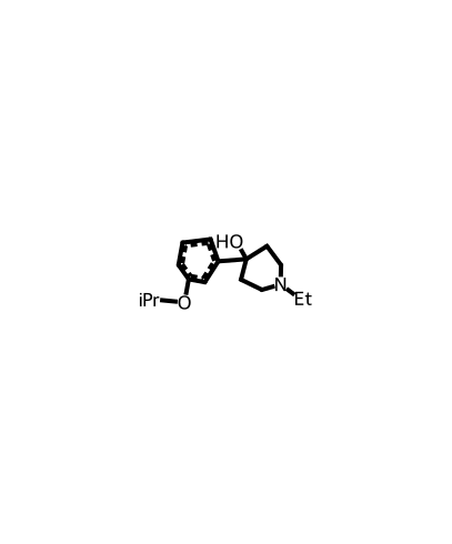 CCN1CCC(O)(c2cccc(OC(C)C)c2)CC1